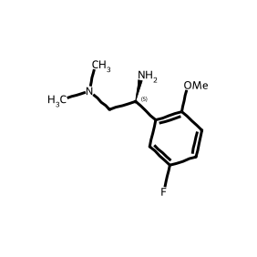 COc1ccc(F)cc1[C@H](N)CN(C)C